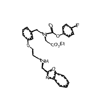 CCOC(=O)CN(Cc1cccc(OCCNCc2nc3ccccc3o2)c1)C(=O)Oc1ccc(F)cc1